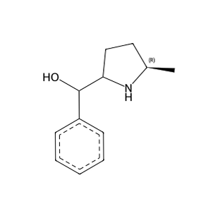 C[C@@H]1CCC(C(O)c2ccccc2)N1